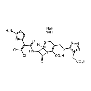 Nc1nc(C(C(=O)NC2C(=O)N3C(C(=O)O)=C(CSc4nnnn4CC(=O)O)CS[C@H]23)=C(Cl)Cl)cs1.[NaH].[NaH]